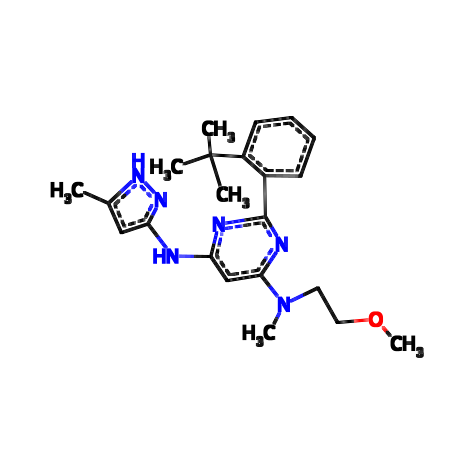 COCCN(C)c1cc(Nc2cc(C)[nH]n2)nc(-c2ccccc2C(C)(C)C)n1